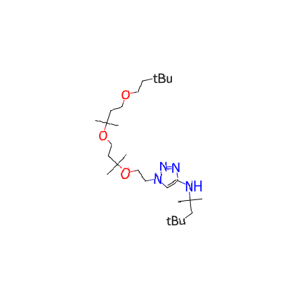 CC(C)(C)CCOCCC(C)(C)OCCC(C)(C)OCCn1cc(NC(C)(C)CC(C)(C)C)nn1